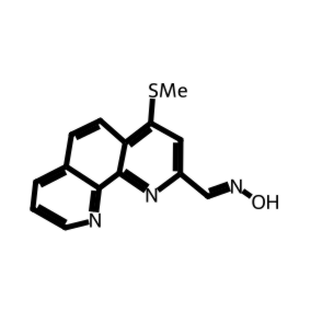 CSc1cc(/C=N/O)nc2c1ccc1cccnc12